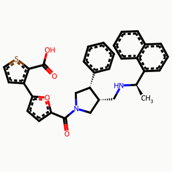 C[C@@H](NC[C@@H]1CN(C(=O)c2ccc(-c3ccsc3C(=O)O)o2)C[C@@H]1c1ccccc1)c1cccc2ccccc12